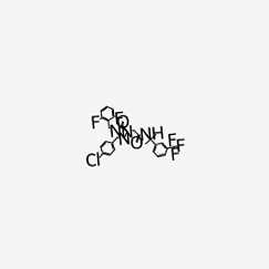 CC(C)(NC(=O)Cn1nc(-c2ccc(Cl)cc2)n(Cc2c(F)cccc2F)c1=O)c1cccc(C(F)(F)F)c1